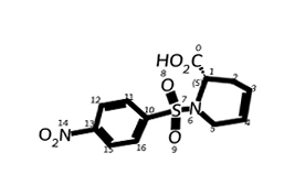 O=C(O)[C@@H]1CC=CCN1S(=O)(=O)c1ccc([N+](=O)[O-])cc1